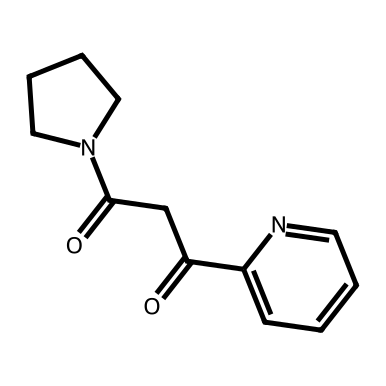 O=C(CC(=O)N1CCCC1)c1ccccn1